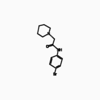 O=C(CN1CCCCC1)Nc1ccc(Br)cc1